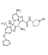 Cc1cc(Oc2ccccc2)ccc1C1(N)C(=O)C(N)c2c(C(=O)NC3CCCN(C(C)C)C3)sc3c(N)ccc1c23